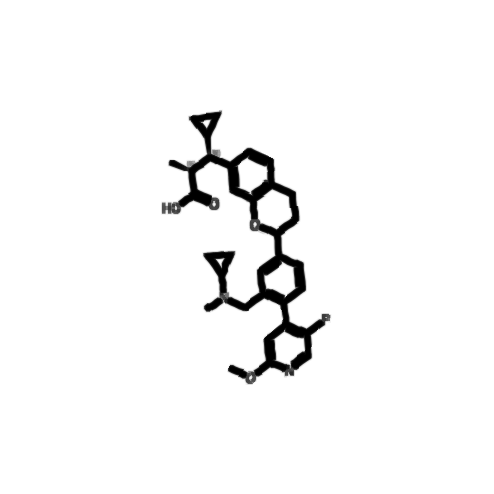 COc1cc(-c2ccc(C3CCc4ccc([C@H](C5CC5)[C@H](C)C(=O)O)cc4O3)cc2CN(C)C2CC2)c(F)cn1